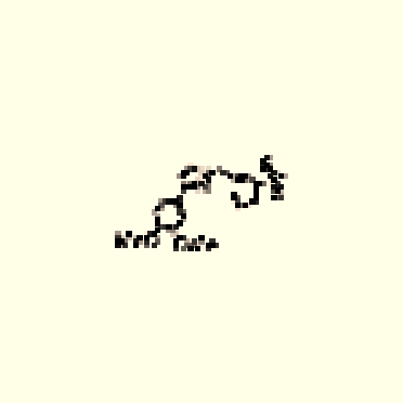 COc1ccc(-c2cc(C)n(Cc3cccc(S(C)(=O)=O)c3)n2)cc1OC